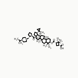 CC(C)N1CCN(C[C@@H]2CCCN2C(=O)[C@]23CC[C@@H](C4(C)CC4)C2[C@H]2CCC4[C@@]5(C)CC[C@H](OC(=O)[C@H]6C[C@@H](C(=O)O)C6(C)C)C(C)(C)C5CC[C@@]4(C)[C@]2(C)CC3)CC1